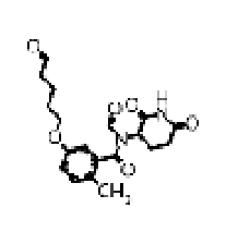 Cc1ccc(OCCCCC=O)cc1C(=O)N(C=O)C1CCC(=O)NC1=O